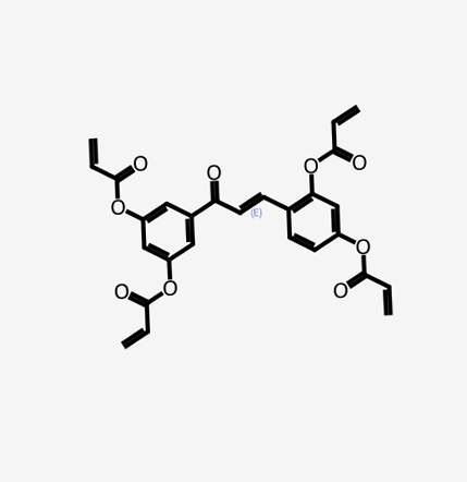 C=CC(=O)Oc1cc(OC(=O)C=C)cc(C(=O)/C=C/c2ccc(OC(=O)C=C)cc2OC(=O)C=C)c1